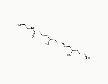 C=CCCC(O)C/C=C/CCC(O)CCCC(=O)NCCO